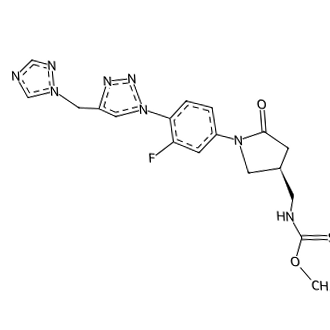 COC(=S)NC[C@@H]1CC(=O)N(c2ccc(-n3cc(Cn4cncn4)nn3)c(F)c2)C1